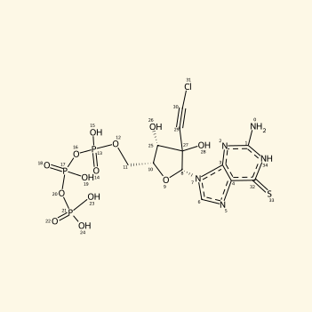 Nc1nc2c(ncn2[C@@H]2O[C@H](COP(=O)(O)OP(=O)(O)OP(=O)(O)O)[C@H](O)C2(O)C#CCl)c(=S)[nH]1